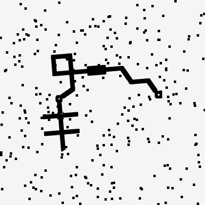 CC(C)(C)[Si](C)(C)OCC1(C#CCCCCl)CCC1